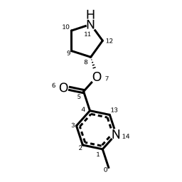 Cc1ccc(C(=O)O[C@@H]2CCNC2)cn1